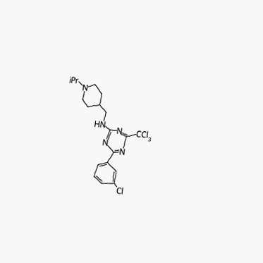 CC(C)N1CCC(CNc2nc(-c3cccc(Cl)c3)nc(C(Cl)(Cl)Cl)n2)CC1